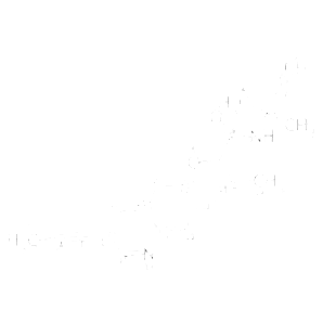 C#CC(C)(C)NC(=O)C(Oc1ccc2ncc(C#CC)cc2c1)SC